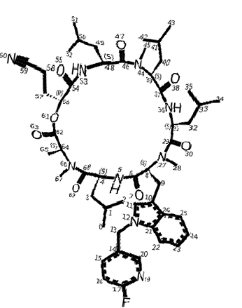 CC(C)C[C@@H]1NC(=O)[C@H](Cc2cn(Cc3ccc(F)nc3)c3ccccc23)N(C)C(=O)[C@H](CC(C)C)NC(=O)[C@H](CC(C)C)N(C)C(=O)[C@H](CC(C)C)NC(=O)[C@@H](CCC#N)OC(=O)[C@H](C)N(C)C1=O